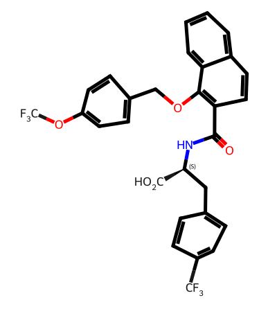 O=C(N[C@@H](Cc1ccc(C(F)(F)F)cc1)C(=O)O)c1ccc2ccccc2c1OCc1ccc(OC(F)(F)F)cc1